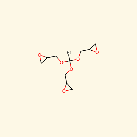 CCC(OCC1CO1)(OCC1CO1)OCC1CO1